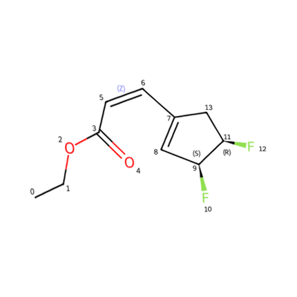 CCOC(=O)/C=C\C1=C[C@H](F)[C@H](F)C1